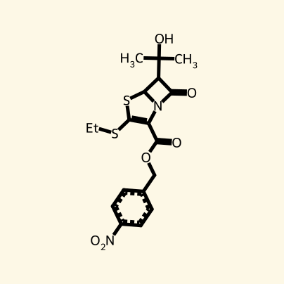 CCSC1=C(C(=O)OCc2ccc([N+](=O)[O-])cc2)N2C(=O)C(C(C)(C)O)C2S1